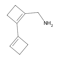 NCC1=C(C2=CCC2)CC1